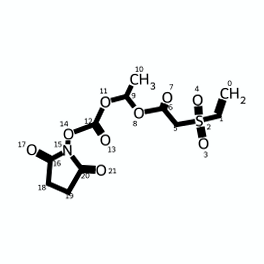 C=CS(=O)(=O)CC(=O)OC(C)OC(=O)ON1C(=O)CCC1=O